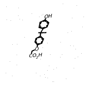 CC(C)(c1ccc(O)cc1)c1ccc(OCC(=O)O)cc1